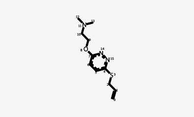 C=CCSc1ccc(OCCN(C)C)nn1